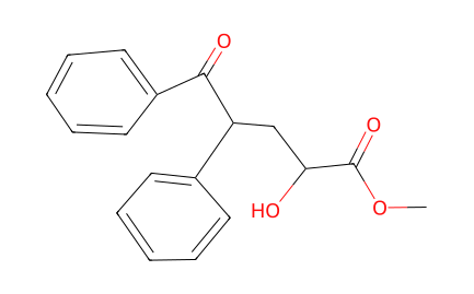 COC(=O)C(O)CC(C(=O)c1ccccc1)c1ccccc1